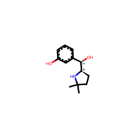 CC1(C)CC[C@H]([C@H](O)c2cccc(O)c2)N1